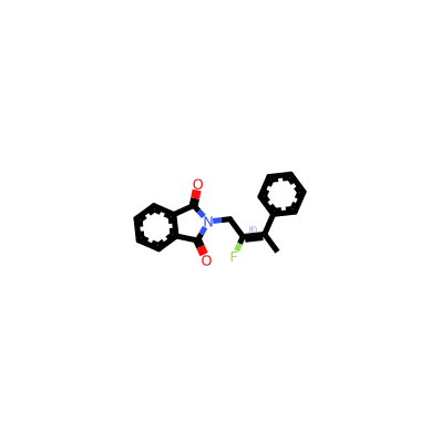 C/C(=C(\F)CN1C(=O)c2ccccc2C1=O)c1ccccc1